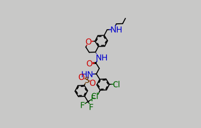 CCCNCc1ccc2c(c1)OCC[C@H]2NC(=O)CC(NS(=O)(=O)c1cccc(C(F)(F)F)c1)c1cc(Cl)cc(Cl)c1